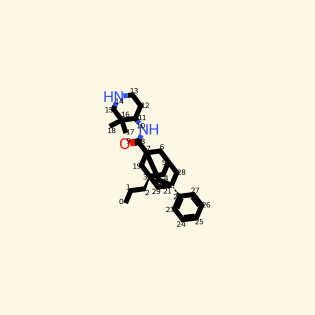 CCC[C@]12CC3CC(C(=O)NC4CCNCC4(C)C)(C1)C[C@@](c1ccccc1)(C3)C2